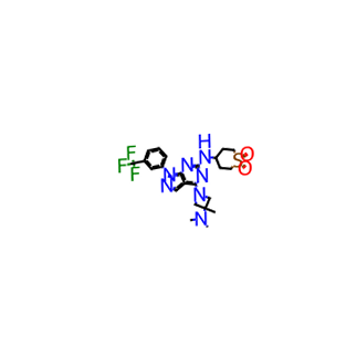 CN(C)C1(C)CN(c2nc(NC3CCS(=O)(=O)CC3)nc3c2cnn3-c2cccc(C(F)(F)F)c2)C1